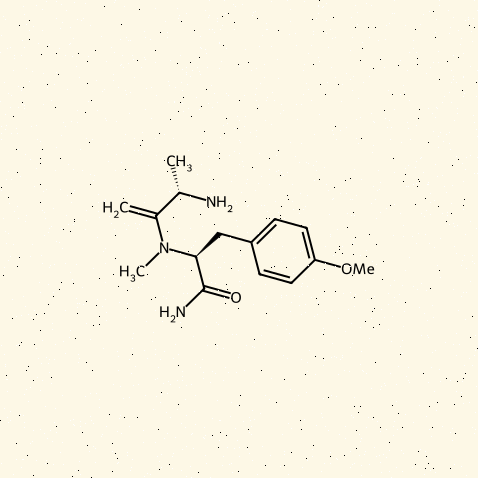 C=C([C@H](C)N)N(C)[C@@H](Cc1ccc(OC)cc1)C(N)=O